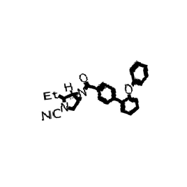 CCC1[C@H]2C(CN1C#N)N2C(=O)c1ccc(-c2ccccc2Oc2ccccc2)cc1